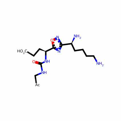 CC(=O)CNC(=O)N[C@@H](CCC(=O)O)c1nc([C@@H](N)CCCCN)no1